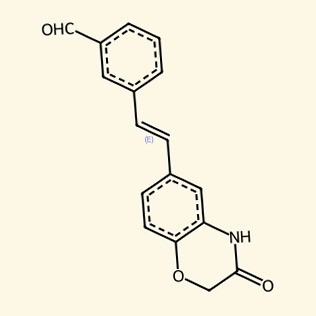 O=Cc1cccc(/C=C/c2ccc3c(c2)NC(=O)CO3)c1